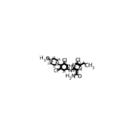 CCc1nc(C(N)=O)c(Nc2cc(Cl)c(N3CCN(C)CC3)c(Cl)c2)nc1Cl